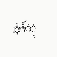 CCCCC(CC)CC(=O)C(OC)C1C=CCC=C1C